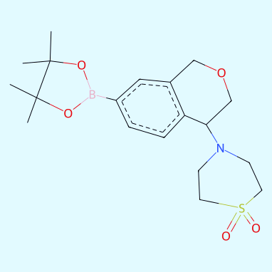 CC1(C)OB(c2ccc3c(c2)COCC3N2CCS(=O)(=O)CC2)OC1(C)C